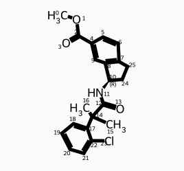 COC(=O)c1ccc2c(c1)[C@H](NC(=O)C(C)(C)c1ccccc1Cl)CC2